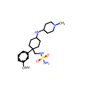 COc1cccc(C2(CNS(N)(=O)=O)CCC(NC3CCN(C)CC3)CC2)c1